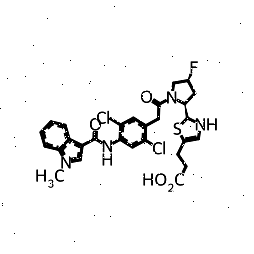 Cn1cc(C(=O)Nc2cc(Cl)c(CC(=O)N3C[C@@H](F)C[C@H]3C3NC=C(CCC(=O)O)S3)cc2Cl)c2ccccc21